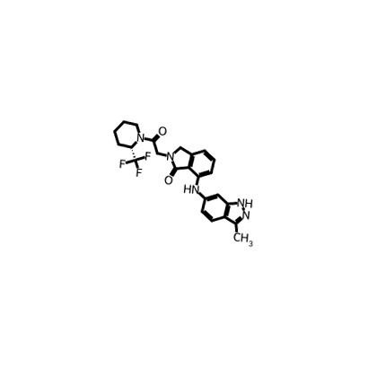 Cc1n[nH]c2cc(Nc3cccc4c3C(=O)N(CC(=O)N3CCCC[C@H]3C(F)(F)F)C4)ccc12